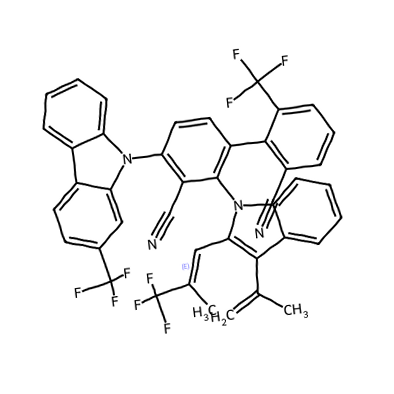 C=C(C)c1c(/C=C(\C)C(F)(F)F)n(-c2c(-c3c(C#N)cccc3C(F)(F)F)ccc(-n3c4ccccc4c4ccc(C(F)(F)F)cc43)c2C#N)c2ccccc12